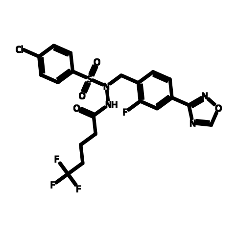 O=C(CCCC(F)(F)F)NN(Cc1ccc(-c2ncon2)cc1F)S(=O)(=O)c1ccc(Cl)cc1